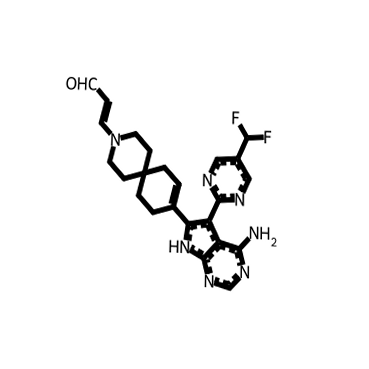 Nc1ncnc2[nH]c(C3=CCC4(CC3)CCN(C=CC=O)CC4)c(-c3ncc(C(F)F)cn3)c12